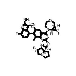 [2H]C([2H])(Oc1nc(N2CCOC[C@H]3[C@H](F)[C@H]32)c2cc(Cl)c(-c3ccc(F)c4sc(N)c(C#N)c34)c(C)c2n1)[C@@]12CCCN1C[C@H](F)C2